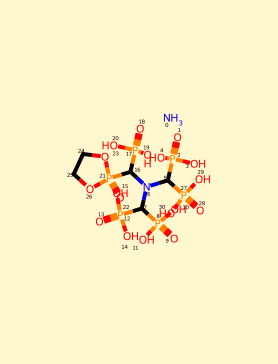 N.O=P(O)(O)C(N(C(P(=O)(O)O)P(=O)(O)O)C(P(=O)(O)O)P1(=O)OCCO1)P(=O)(O)O